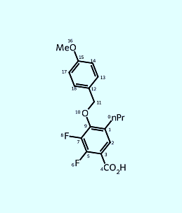 CCCc1cc(C(=O)O)c(F)c(F)c1OCc1ccc(OC)cc1